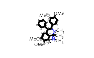 COc1ccc(C2=C(c3ccccc3)c3cc(OC)c(OC)cc3C(C)(N(C)C)N2C)cc1OC